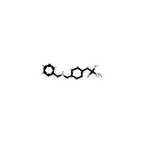 CC(F)(F)CC1CCC(COCc2ccccc2)CC1